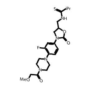 COCC(=O)N1CCN(c2ccc(N3CC(CNC(=S)C(C)C)OC3=O)cc2F)CC1